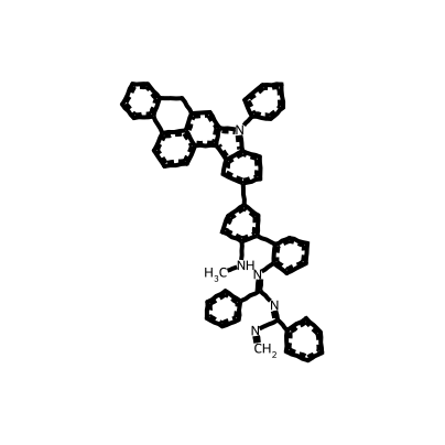 C=N/C(=N\C(=N/c1ccccc1-c1cc(-c2ccc3c(c2)c2c4cccc5c4c(cc2n3-c2ccccc2)Cc2ccccc2-5)ccc1NC)c1ccccc1)c1ccccc1